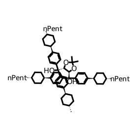 CCCCC[C@H]1CC[C@H](c2ccc(C(O)(c3ccc([C@H]4CC[C@H](C)CC4)cc3)[C@@H]3OC(C)(C)O[C@H]3C(O)(c3ccc([C@H]4CC[C@H](CCCCC)CC4)cc3)c3ccc([C@H]4CC[C@H](CCCCC)CC4)cc3)cc2)CC1